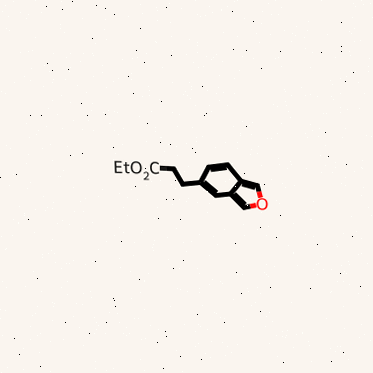 CCOC(=O)CCc1ccc2cocc2c1